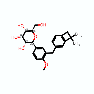 BC1(B)Cc2ccc(Cc3cc([C@@H]4O[C@H](CO)[C@@H](O)[C@H](O)[C@H]4O)ccc3OC)cc21